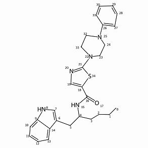 CCCCC(Cc1c[nH]c2ccccc12)NC(=O)c1cnc(N2CCN(c3ccccc3)CC2)s1